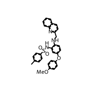 COc1ccc(Oc2ccc(NCc3ccc4ccccc4n3)c(NS(=O)(=O)c3ccc(C)cc3)c2)cc1